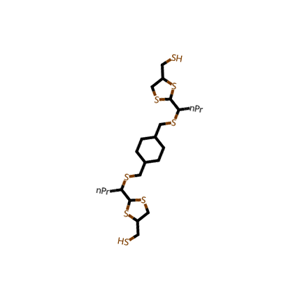 CCCC(SCC1CCC(CSC(CCC)C2SCC(CS)S2)CC1)C1SCC(CS)S1